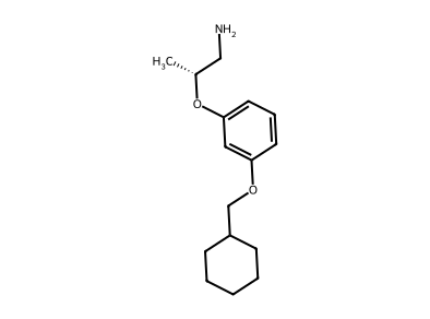 C[C@H](CN)Oc1cccc(OCC2CCCCC2)c1